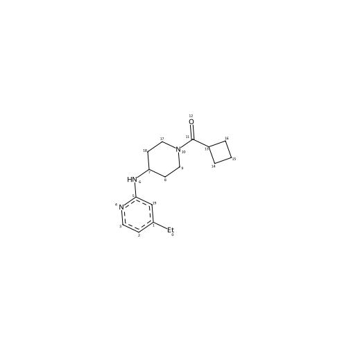 CCc1ccnc(NC2CCN(C(=O)C3CCC3)CC2)c1